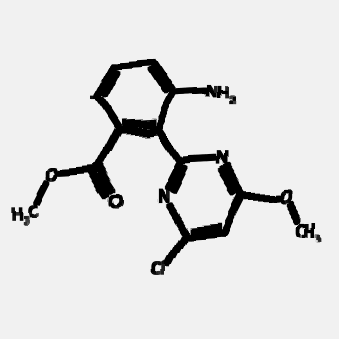 COC(=O)c1[c]ccc(N)c1-c1nc(Cl)cc(OC)n1